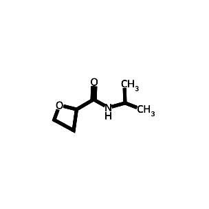 CC(C)NC(=O)C1CCO1